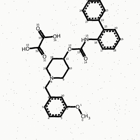 COc1cccc(CN2CCC(OC(=O)Nc3ccccc3-c3ccccc3)CC2)c1.O=C(O)C(=O)O